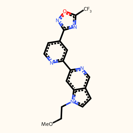 COCCn1ccc2cnc(-c3cc(-c4noc(C(F)(F)F)n4)ccn3)cc21